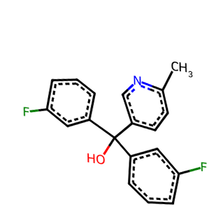 Cc1ccc(C(O)(c2cccc(F)c2)c2cccc(F)c2)cn1